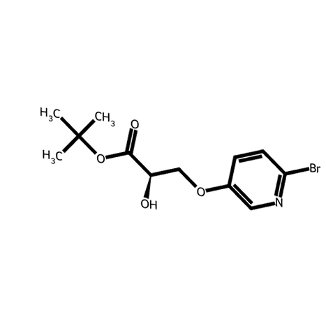 CC(C)(C)OC(=O)[C@H](O)COc1ccc(Br)nc1